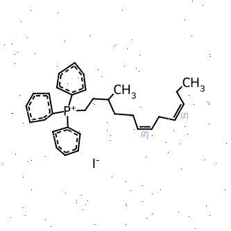 CC/C=C\C/C=C\CCC(C)CC[P+](c1ccccc1)(c1ccccc1)c1ccccc1.[I-]